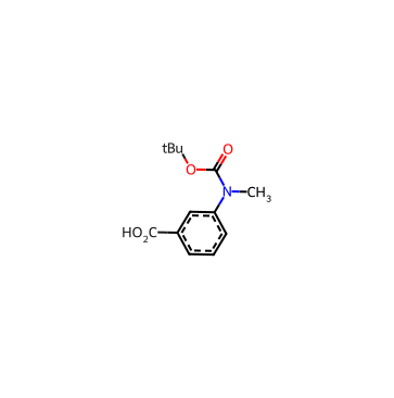 CN(C(=O)OC(C)(C)C)c1cccc(C(=O)O)c1